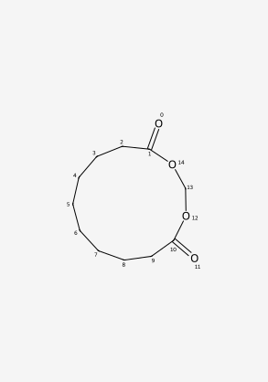 O=C1CCCCCCCCC(=O)OCO1